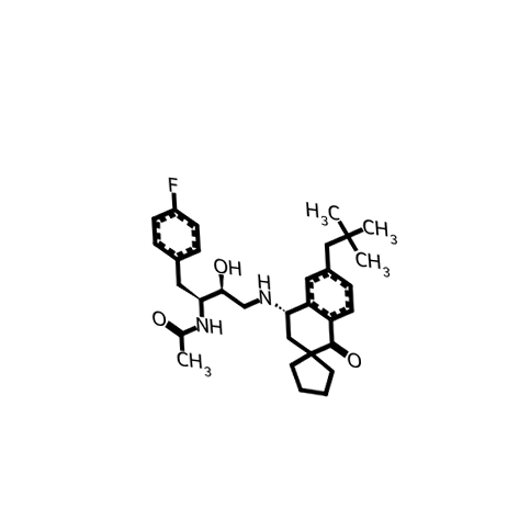 CC(=O)N[C@@H](Cc1ccc(F)cc1)[C@@H](O)CN[C@H]1CC2(CCCC2)C(=O)c2ccc(CC(C)(C)C)cc21